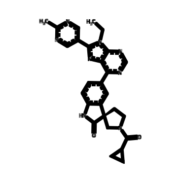 CCn1c(-c2cnc(C)nc2)nc2c(-c3ccc4c(c3)[C@@]3(CCN(C(=O)C5CC5)C3)C(=O)N4)ncnc21